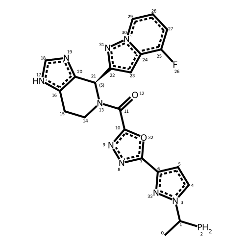 CC(P)n1ccc(-c2nnc(C(=O)N3CCc4[nH]cnc4[C@H]3c3cc4c(F)cccn4n3)o2)n1